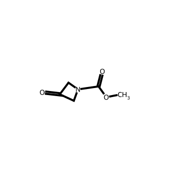 COC(=O)N1CC(=O)C1